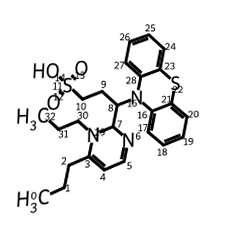 CCCC1=CC=NC(C(CCS(=O)(=O)O)N2c3ccccc3Sc3ccccc32)N1CCC